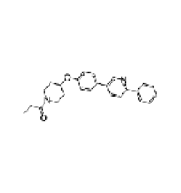 CCC(=O)N1CCC(Oc2ccc(-c3ccc(-c4ccccc4)nc3)cc2)CC1